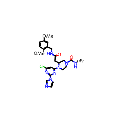 CCCNC(=O)N1CCN(c2cc(Cl)nc(-n3ccnc3)n2)C(CC(=O)NCc2cc(OC)ccc2OC)C1